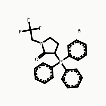 O=C1C([P+](c2ccccc2)(c2ccccc2)c2ccccc2)CCN1CC(F)(F)F.[Br-]